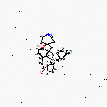 N#CC1(C(CCC2(O)CCNCC2)c2ccc(Cl)cc2)c2ccccc2C[S+]([O-])c2ccccc21